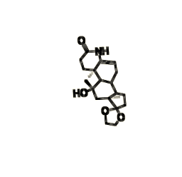 C[C@]1(O)C[C@@]2(C)C(CCC23OCCO3)C2CC=C3NC(=O)CC[C@]3(C)C21